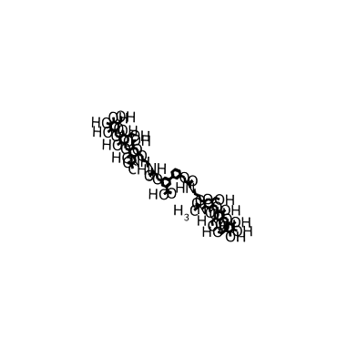 CC(=O)NC1C(OCCCNC(=O)COc2cccc(-c3cc(OCC(=O)NCCCOC4OC(CO)C(OC5OC(CO)C(O)C(OC6OC(CO)C(O)C(O)C6O)C5O)C(O)C4NC(C)=O)cc(C(=O)O)c3)c2)OC(CO)C(OC2OC(CO)C(O)C(OC3OC(CO)C(O)C(O)C3O)C2O)C1O